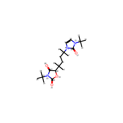 CC(C)(CCC(C)(C)n1ccn(C(C)(C)C)c1=O)C1OC(=O)N(C(C)(C)C)C1=O